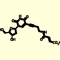 O=C(O)/C=C/C(=O)NCCC#Cc1cn([C@H]2C[C@H](O)[C@@H](CO)O2)c(=O)[nH]c1=O